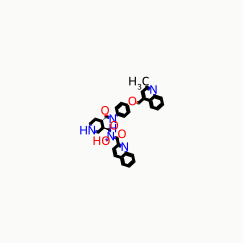 Cc1cc(COc2ccc(NC(=O)[C@H]3CCNC[C@@H]3C(=O)N(O)C(=O)c3ccc4ccccc4n3)cc2)c2ccccc2n1